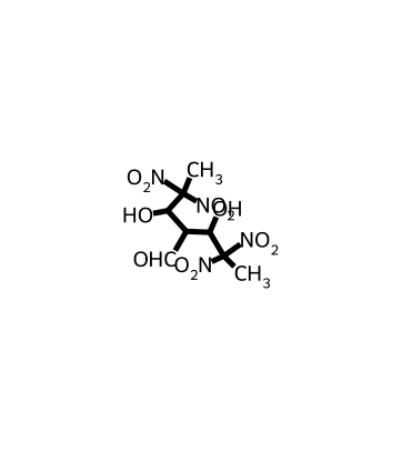 CC(C(O)C([C]=O)C(O)C(C)([N+](=O)[O-])[N+](=O)[O-])([N+](=O)[O-])[N+](=O)[O-]